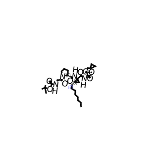 CCCCCC/C=C\[C@@H]1C[C@]1(NC(=O)[C@@H]1CCCN1C(=O)CNC(=O)OC(C)(C)C)C(=O)NS(=O)(=O)OC1(C)CC1